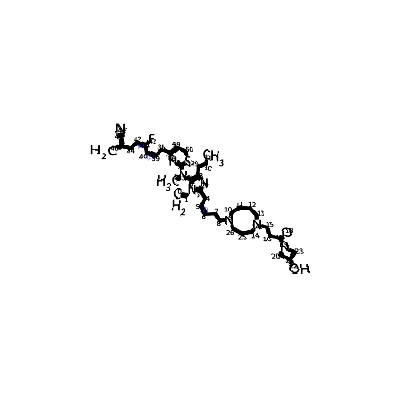 C=Cn1c(C/C=C\CCN2CCCCN(CCC(=O)N3CC(O)C3)CCC2)nc(CCC)c1N(C)C1=NC(C/C=C\C(F)=C/CC(=C)C#N)=CCS1